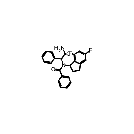 NC(=O)[C@H](c1ccccc1)N(C(=O)c1ccccc1)[C@@H]1CCc2cc(F)cc(F)c21